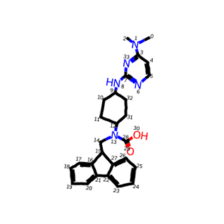 CN(C)c1ccnc(NC2CCC(N(CC3c4ccccc4-c4ccccc43)C(=O)O)CC2)n1